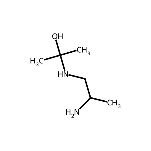 CC(N)CNC(C)(C)O